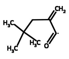 C=C([C]=O)CC(C)(C)C